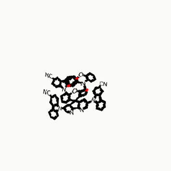 N#Cc1ccc2c(c1)c1ccccc1n2-c1cnc2c(c1)C1(c3cc(-n4c5ccccc5c5cc(C#N)ccc54)cnc3-2)c2cccc(N3c4ccccc4Oc4ccccc43)c2Oc2c(-n3c4ccccc4c4cc(C#N)ccc43)cccc21